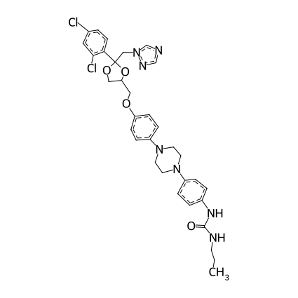 CCCNC(=O)Nc1ccc(N2CCN(c3ccc(OCC4COC(Cn5cncn5)(c5ccc(Cl)cc5Cl)O4)cc3)CC2)cc1